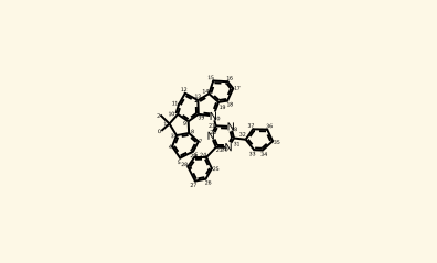 CC1(C)c2ccccc2-c2c1ccc1c3ccccc3n(-c3nc(-c4ccccc4)nc(-c4ccccc4)n3)c21